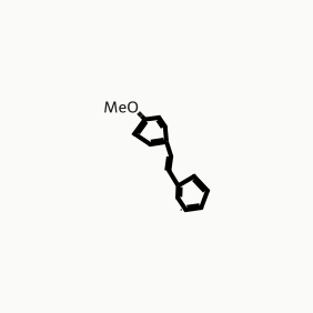 COc1ccc(/C=C/c2c[c]ccc2)cc1